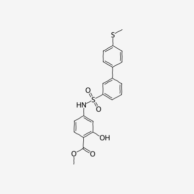 COC(=O)c1ccc(NS(=O)(=O)c2cccc(-c3ccc(SC)cc3)c2)cc1O